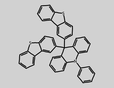 c1ccc(N2c3ccccc3C(c3ccc4sc5ccccc5c4c3)(c3ccc4sc5ccccc5c4c3)c3ccccc32)cc1